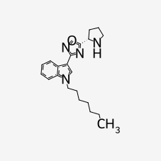 CCCCCCCn1cc(-c2noc([C@@H]3CCCN3)n2)c2ccccc21